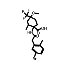 COC1(C(F)(F)F)CCC(NC(=O)Cc2cc(Br)ccc2C)(C(=O)O)C(C)C1